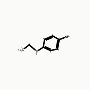 CCSc1ccc([NH])cc1